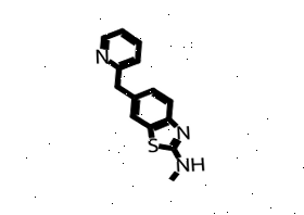 CNc1nc2ccc(Cc3ccccn3)cc2s1